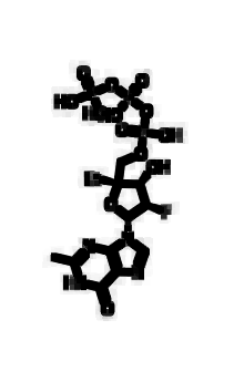 CC[C@]1(COP(=O)(O)OP(=O)(O)OP(=O)(O)O)O[C@@H](n2cnc3c(=O)[nH]c(C)nc32)[C@H](F)[C@@H]1O